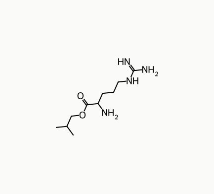 CC(C)COC(=O)C(N)CCCNC(=N)N